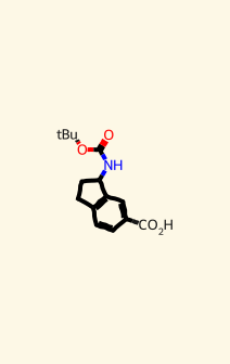 CC(C)(C)OC(=O)NC1CCc2ccc(C(=O)O)cc21